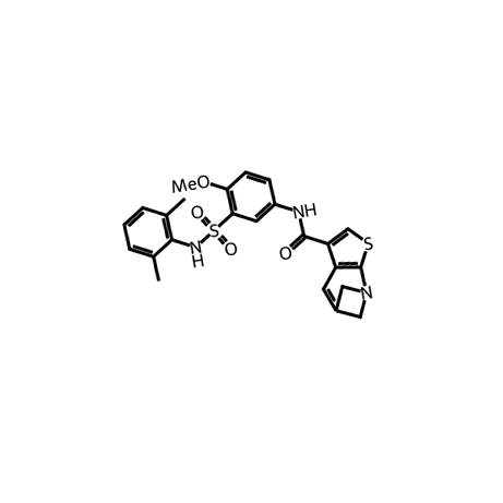 COc1ccc(NC(=O)c2csc3c2C=C2CN3C2)cc1S(=O)(=O)Nc1c(C)cccc1C